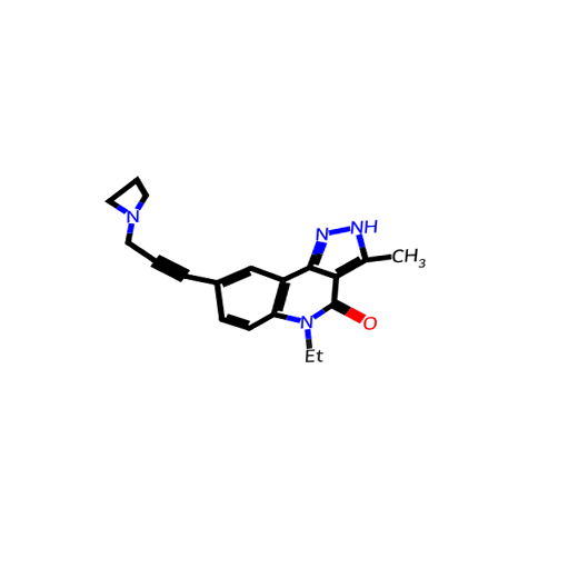 CCn1c(=O)c2c(C)[nH]nc2c2cc(C#CCN3CCC3)ccc21